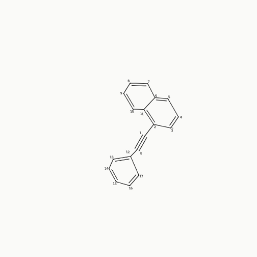 C(#Cc1[c]ccc2ccccc12)c1ccccc1